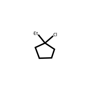 C[CH]C1(Cl)CCCC1